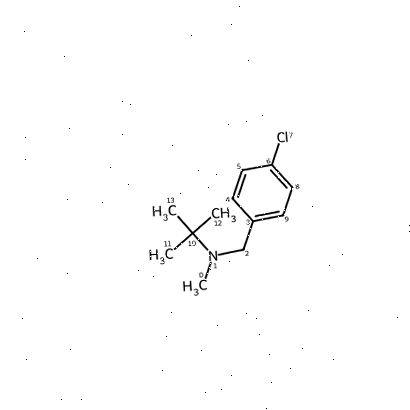 CN(Cc1ccc(Cl)cc1)C(C)(C)C